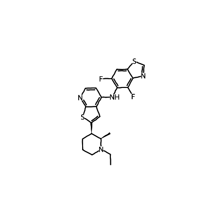 CCN1CCC[C@@H](c2cc3c(Nc4c(F)cc5scnc5c4F)ccnc3s2)[C@H]1C